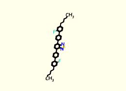 CCCCCc1ccc(-c2ccc(-c3ccc(-c4ccc(-c5ccc(CCCCC)cc5F)cc4)c4nsnc34)cc2)c(F)c1